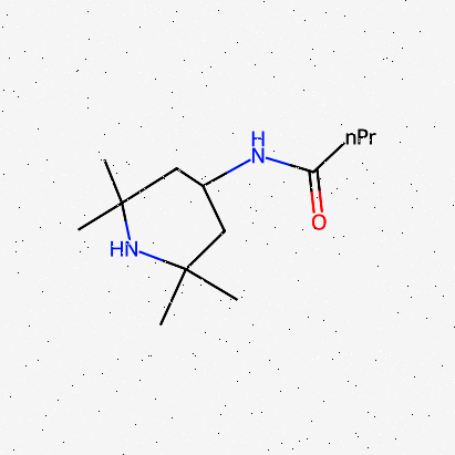 CCCC(=O)NC1CC(C)(C)NC(C)(C)C1